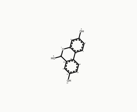 Oc1ccc2c(c1)OC(O)c1cc(O)ccc1-2